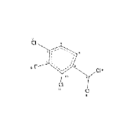 Fc1c(Cl)ccc(C(Cl)Cl)c1Cl